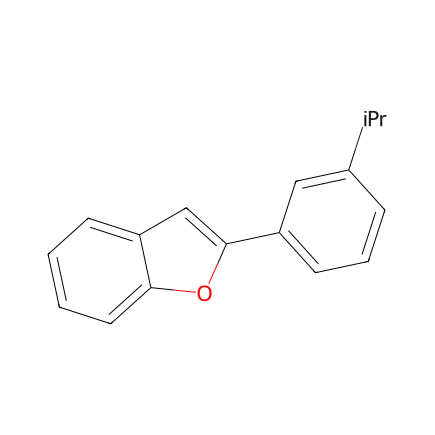 CC(C)c1cccc(-c2cc3ccccc3o2)c1